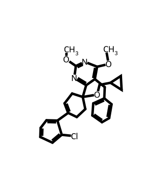 COc1nc(OC)c(Cc2ccccc2)c(C2(OCC3CC3)CC=C(c3ccccc3Cl)CC2)n1